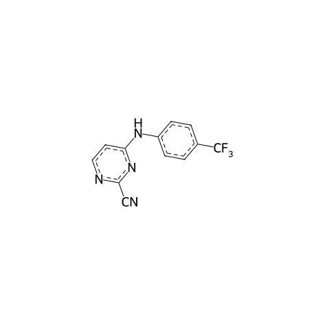 N#Cc1nccc(Nc2ccc(C(F)(F)F)cc2)n1